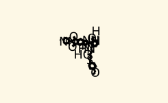 COc1ccc(SCC(O)CNc2cc[nH]c(=O)c2-c2nc3cc4c(cc3[nH]2)C(=O)N(C2CCN(C)CC2)C4=O)cc1